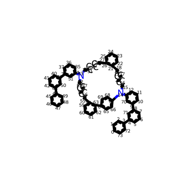 c1ccc(-c2cccc(-c3cccc(N4c5ccc(cc5)-c5ccccc5-c5ccc(cc5)N(c5cccc(-c6cccc(-c7ccccc7)c6)c5)c5ccc(cc5)-c5ccccc5-c5ccc4cc5)c3)c2)cc1